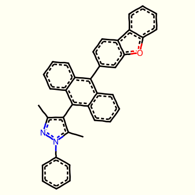 Cc1nn(-c2ccccc2)c(C)c1-c1c2ccccc2c(-c2ccc3c(c2)oc2ccccc23)c2ccccc12